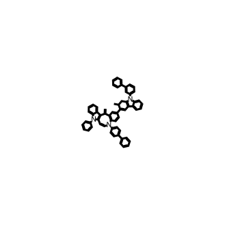 C=C1c2cc(C3=Cc4c(n(-c5cccc(-c6ccccc6)c5)c5ccccc45)CC3C)ccc2N(c2ccc(-c3ccccc3)cc2)/C=C\c2c1c1ccccc1n2-c1ccccc1